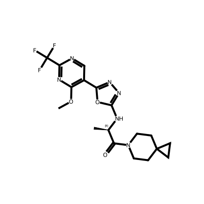 COc1nc(C(F)(F)F)ncc1-c1nnc(N[C@H](C)C(=O)N2CCC3(CC2)CC3)o1